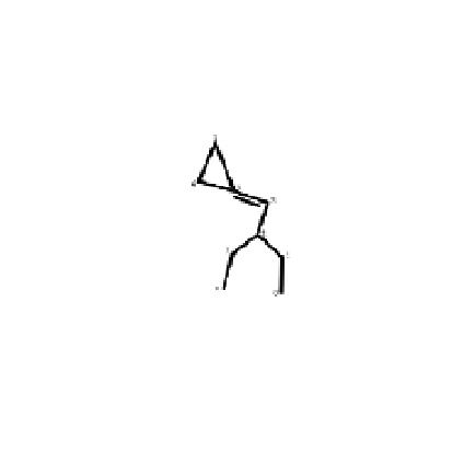 CCC(C=C1CC1)CC